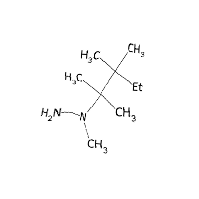 CCC(C)(C)C(C)(C)N(C)N